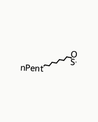 CCCCCCCCCCCCC(=O)[S]